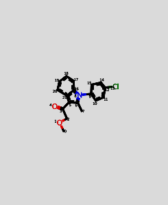 COCC(=O)c1c(C)n(-c2ccc(Cl)cc2)c2ccccc12